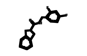 O=C(NCc1ccc(F)cc1F)C1Cc2ccccc2C1